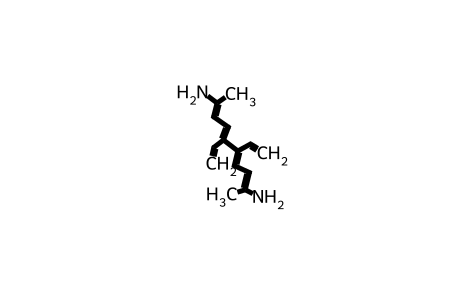 C=CC(=C\C=C(/C)N)/C(C=C)=C/C=C(\C)N